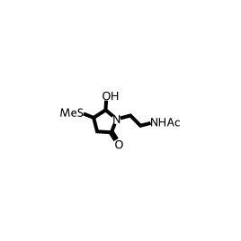 CSC1CC(=O)N(CCNC(C)=O)C1O